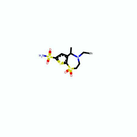 CC(C)CN1CCS(=O)(=O)c2sc(S(N)(=O)=O)cc2C1C